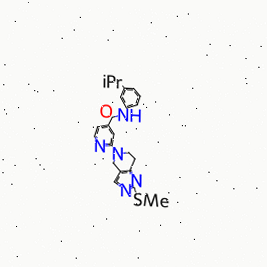 CSc1ncc2c(n1)CCN(c1cc(C(=O)Nc3cccc(C(C)C)c3)ccn1)C2